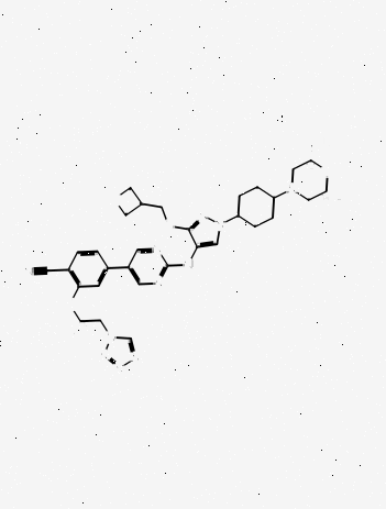 C[C@@H]1CN(C2CCC(n3cc(Nc4ncc(-c5ccc(C#N)c(O[C@@H](C)Cn6cnnn6)c5)cn4)c(OCC4COC4)n3)CC2)C[C@H](C)O1